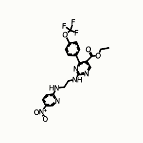 CCOC(=O)c1cnc(NCCNc2ccc([N+](=O)[O-])cn2)nc1-c1ccc(OC(F)(F)F)cc1